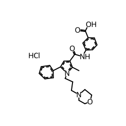 Cc1c(C(=O)Nc2cccc(C(=O)O)c2)cc(-c2ccccc2)n1CCCN1CCOCC1.Cl